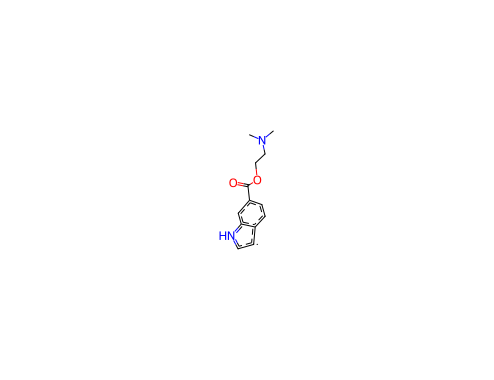 CN(C)CCOC(=O)c1ccc2[c]c[nH]c2c1